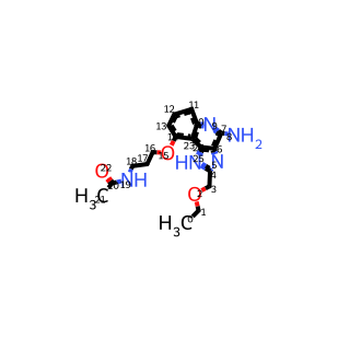 CCOCc1nc2c(N)nc3cccc(OCCCNC(C)=O)c3c2[nH]1